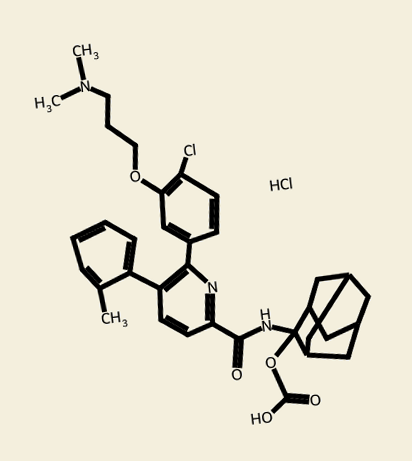 Cc1ccccc1-c1ccc(C(=O)NC2(OC(=O)O)C3CC4CC(C3)CC2C4)nc1-c1ccc(Cl)c(OCCCN(C)C)c1.Cl